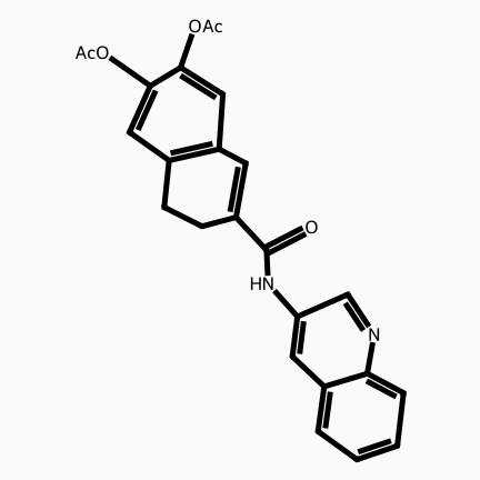 CC(=O)Oc1cc2c(cc1OC(C)=O)CCC(C(=O)Nc1cnc3ccccc3c1)=C2